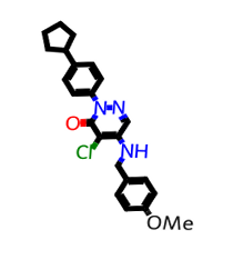 COc1ccc(CNc2cnn(-c3ccc(C4CCCC4)cc3)c(=O)c2Cl)cc1